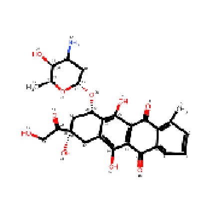 Cc1cccc2c1C(=O)c1c(O)c3c(c(O)c1C2=O)C[C@@](O)(C(=O)CO)C[C@@H]3O[C@H]1CC(N)[C@H](O)[C@H](C)O1